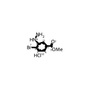 COC(=O)c1ccc(Br)c(NN)c1.Cl